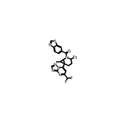 CCC1CCC2(c3cc(C(F)F)nc4ncnn34)C(C)C2N1C(=O)c1ccc2ncsc2c1